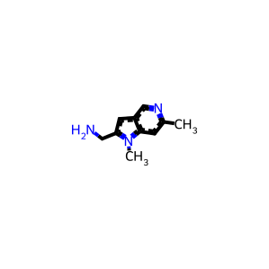 Cc1cc2c(cn1)cc(CN)n2C